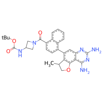 CC1COc2c1c(-c1ccc(C(=O)N3CC(NC(=O)OC(C)(C)C)C3)c3ccccc13)cc1nc(N)nc(N)c21